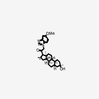 COc1ccc2c(c1)nnn2CC(=O)C1[C@H](C)C[C@H]2[C@@H]3CC[C@H]4C[C@](C)(O)CC[C@]4(C)[C@H]3CC[C@]12C